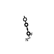 CC1CCC(c2ccc(C#Cc3ccc(SC#N)c(F)c3)cc2)CC1